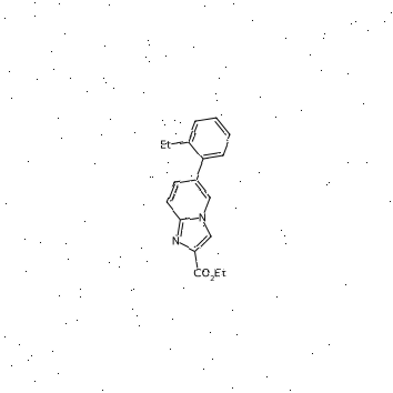 CCOC(=O)c1cn2cc(-c3ccccc3CC)ccc2n1